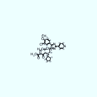 COc1ccc(-c2nc(-c3ccncc3)nn2CCN(C2CCCC2)[C@H](C(=O)NC(C)=O)C(C)C)cc1Cl